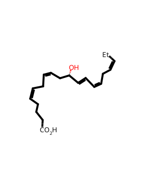 CC/C=C\C/C=C\C=C\[C@@H](O)C/C=C\C/C=C\CCCC(=O)O